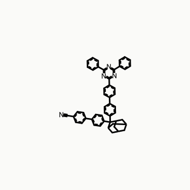 N#Cc1ccc(-c2ccc(C3(c4ccc(-c5ccc(-c6nc(-c7ccccc7)nc(-c7ccccc7)n6)cc5)cc4)C4CC5CC(C4)CC3C5)cc2)cc1